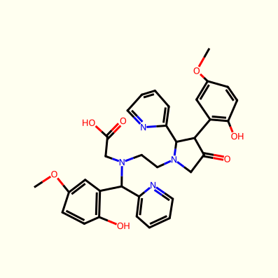 COc1ccc(O)c(C2C(=O)CN(CCN(CC(=O)O)C(c3ccccn3)c3cc(OC)ccc3O)C2c2ccccn2)c1